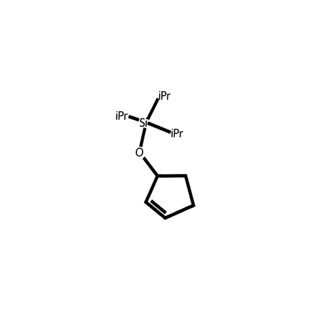 CC(C)[Si](OC1C=CCC1)(C(C)C)C(C)C